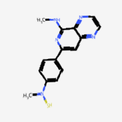 CNc1nc(-c2ccc(N(C)S)cc2)cc2nccnc12